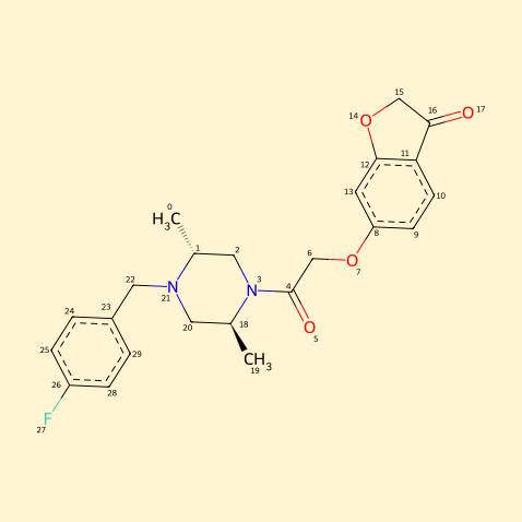 C[C@@H]1CN(C(=O)COc2ccc3c(c2)OCC3=O)[C@@H](C)CN1Cc1ccc(F)cc1